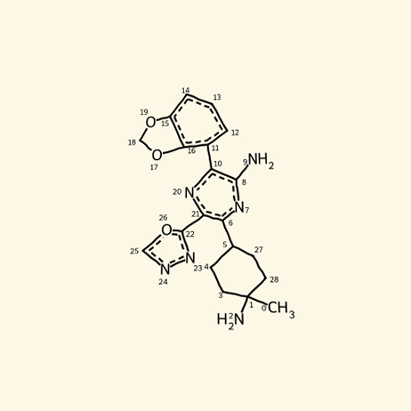 CC1(N)CCC(c2nc(N)c(-c3cccc4c3OCO4)nc2-c2nnco2)CC1